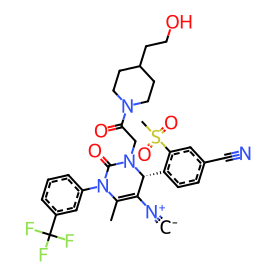 [C-]#[N+]C1=C(C)N(c2cccc(C(F)(F)F)c2)C(=O)N(CC(=O)N2CCC(CCO)CC2)[C@@H]1c1ccc(C#N)cc1S(C)(=O)=O